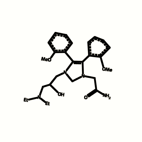 CCN(CC)CC(O)CN1CN(CC(N)=O)C(c2ccccc2OC)=C1c1ccccc1OC